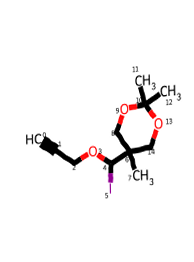 C#CCOC(I)C1(C)COC(C)(C)OC1